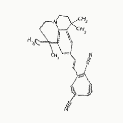 CC1(C)CCN2CCC(C)(C)c3cc(C=Cc4cc(C#N)ccc4C#N)cc1c32